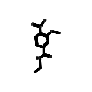 CCNC(=O)c1ccc([N+](=O)[O-])c(OC)c1